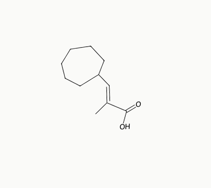 C/C(=C\C1CCCCCC1)C(=O)O